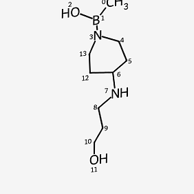 CB(O)N1CCC(NCCCO)CC1